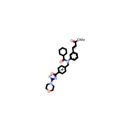 COC(=O)/C=C/c1cccc(N(CC23CCC(c4nc(N5CCOCC5)no4)(CC2)CC3)C(=O)C2CCCCC2)c1